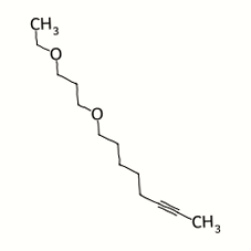 CC#CCCCCCOCCCOCC